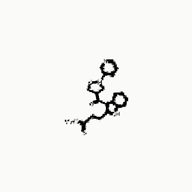 COC(=O)CCc1[nH]c2ccccc2c1C(=O)C1CSN(c2cccnc2)C1